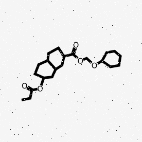 CCC(=O)OC1CCC2CCC(C(=O)OCOC3CCCCC3)CC2C1